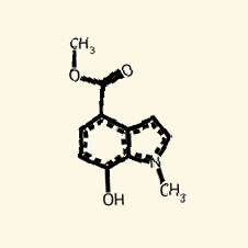 COC(=O)c1ccc(O)c2c1ccn2C